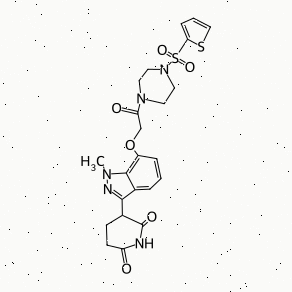 Cn1nc(C2CCC(=O)NC2=O)c2cccc(OCC(=O)N3CCN(S(=O)(=O)c4cccs4)CC3)c21